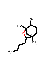 CCCCC1OC2(C)C[C@]1(C)CCC2C